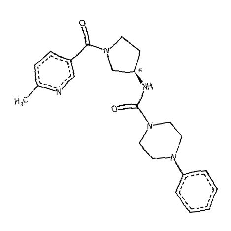 Cc1ccc(C(=O)N2CC[C@@H](NC(=O)N3CCN(c4ccccc4)CC3)C2)cn1